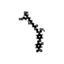 CCN(CCOC(=O)CCNCCCN(CCO)CCO)c1ccc(/N=N/c2ccc([N+](=O)[O-])cc2Cl)cc1